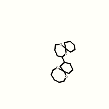 C1CCOC2(CCCC(C3CCCOC4(CCCCC4)O3)C2)OCC1